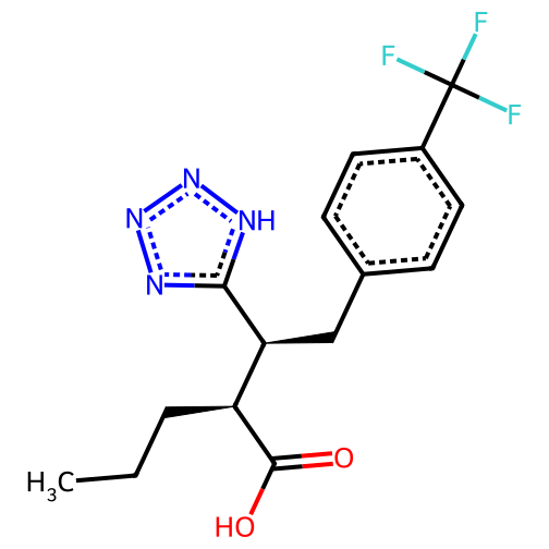 CCC[C@H](C(=O)O)[C@H](Cc1ccc(C(F)(F)F)cc1)c1nnn[nH]1